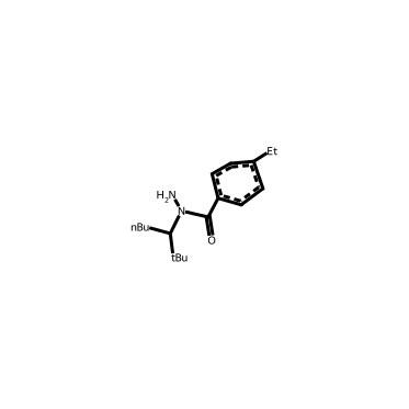 CCCCC(N(N)C(=O)c1ccc(CC)cc1)C(C)(C)C